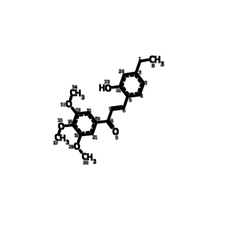 CCc1ccc(C=CC(=O)c2cc(OC)c(OC)c(OC)c2)c(O)c1